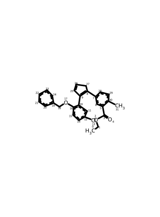 CCOC(=O)c1cc(C2=C(c3cc(Cl)ccc3OCc3ccccc3)C=CC2)ccc1C